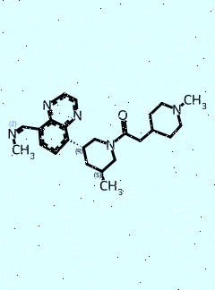 C/N=C\c1ccc([C@H]2C[C@H](C)CN(C(=O)CC3CCN(C)CC3)C2)c2nccnc12